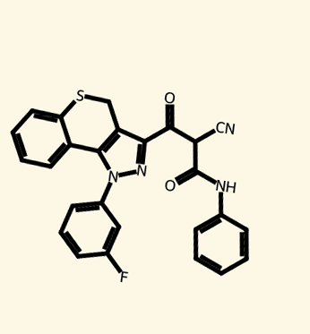 N#CC(C(=O)Nc1ccccc1)C(=O)c1nn(-c2cccc(F)c2)c2c1CSc1ccccc1-2